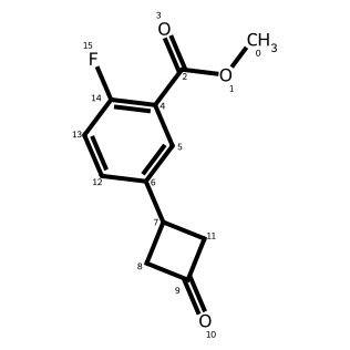 COC(=O)c1cc(C2CC(=O)C2)ccc1F